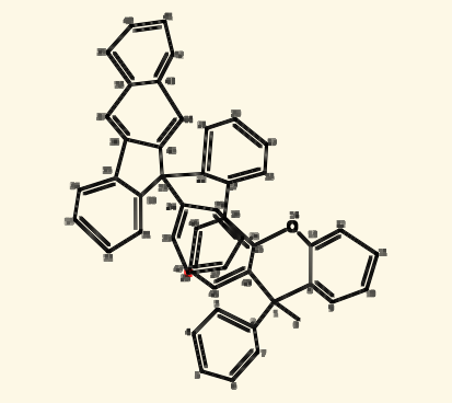 CC1(c2ccccc2)c2ccccc2Oc2c(-c3ccccc3C3(c4ccccc4)c4ccccc4-c4cc5ccccc5cc43)cccc21